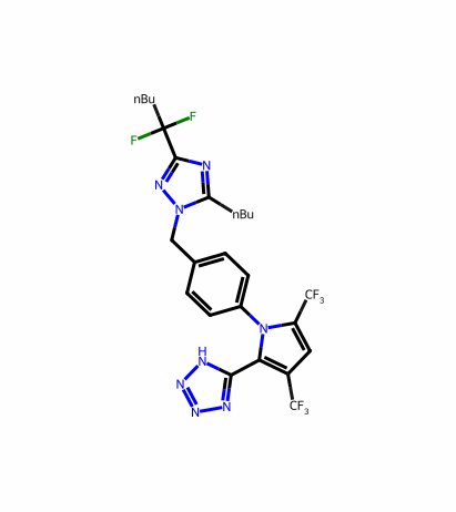 CCCCc1nc(C(F)(F)CCCC)nn1Cc1ccc(-n2c(C(F)(F)F)cc(C(F)(F)F)c2-c2nnn[nH]2)cc1